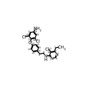 CCc1ncnc(NCCc2ccc(Oc3c(Cl)cc(N)cc3Cl)cc2)c1Cl